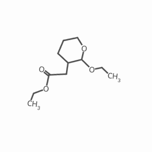 CCOC(=O)CC1CCCOC1OCC